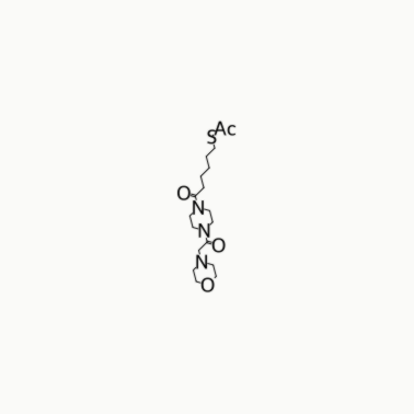 CC(=O)SCCCCCC(=O)N1CCN(C(=O)CN2CCOCC2)CC1